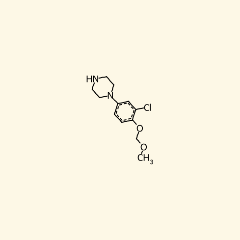 COCOc1ccc(N2CCNCC2)cc1Cl